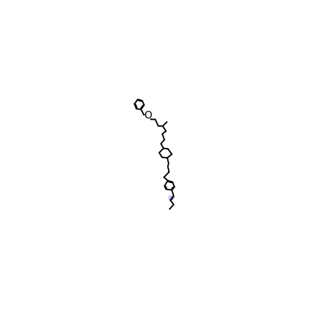 CC/C=C/c1ccc(CCCCC2CCC(CCCCC(C)CCCOCc3ccccc3)CC2)cc1